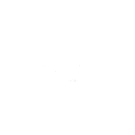 CC(C)(C)CCC(O)C1CC=CC1